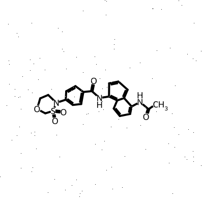 CC(=O)Nc1cccc2c(NC(=O)c3ccc(N4CCOCS4(=O)=O)cc3)cccc12